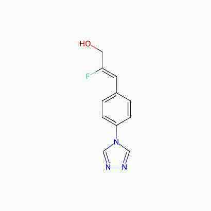 OC/C(F)=C/c1ccc(-n2cnnc2)cc1